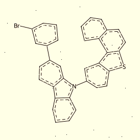 Brc1cccc(-c2ccc3c4ccccc4n(-c4ccc5sc6ccc7ccccc7c6c5c4)c3c2)c1